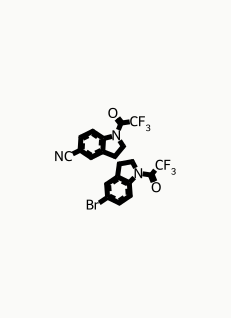 N#Cc1ccc2c(c1)CCN2C(=O)C(F)(F)F.O=C(N1CCc2cc(Br)ccc21)C(F)(F)F